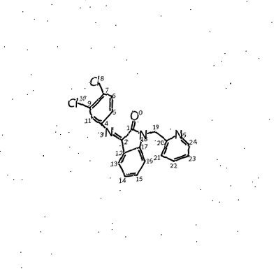 O=C1C(=Nc2ccc(Cl)c(Cl)c2)c2ccccc2N1Cc1ccccn1